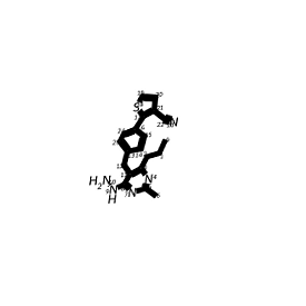 CCCc1nc(C)nc(NN)c1Cc1ccc(-c2sccc2C#N)cc1